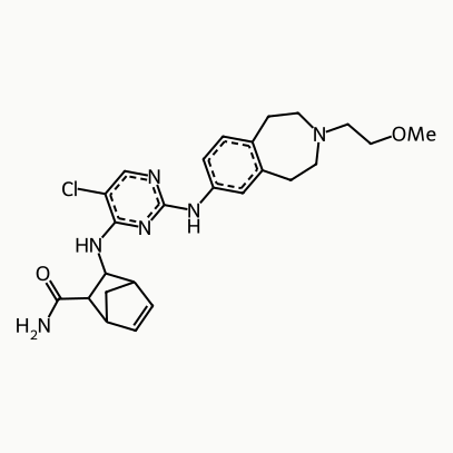 COCCN1CCc2ccc(Nc3ncc(Cl)c(NC4C5C=CC(C5)C4C(N)=O)n3)cc2CC1